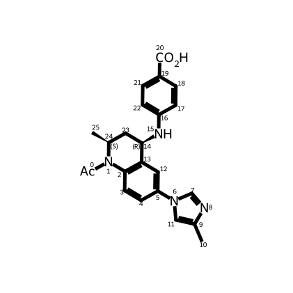 CC(=O)N1c2ccc(-n3cnc(C)c3)cc2[C@H](Nc2ccc(C(=O)O)cc2)C[C@@H]1C